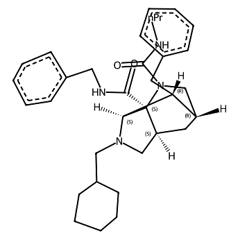 CCCNC(=O)N1C[C@@H]2C[C@H]3CN(CC4CCCCC4)[C@@H]([C@@H]2Cc2ccccc2)[C@]31C(=O)NCc1ccccc1